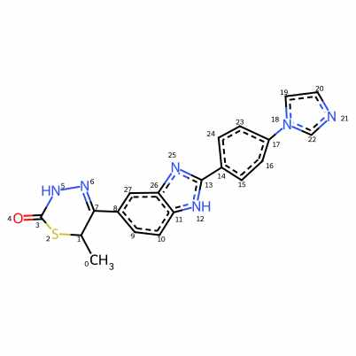 CC1SC(=O)NN=C1c1ccc2[nH]c(-c3ccc(-n4ccnc4)cc3)nc2c1